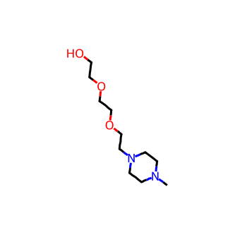 CN1CCN(CCOCCOCCO)CC1